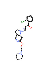 O=C(/C=C/N1CCc2cnc(OCCN3CCCCC3)cc21)c1ccccc1Cl